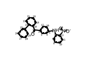 O=C(c1ccc(Nc2ccccc2[N+](=O)[O-])cc1)c1ccccc1-c1ccccc1